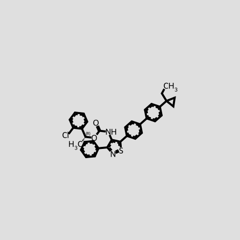 CCC1(c2ccc(-c3ccc(-c4snc(-c5ccccc5)c4NC(=O)O[C@H](C)c4ccccc4Cl)cc3)cc2)CC1